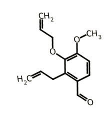 C=CCOc1c(OC)ccc(C=O)c1CC=C